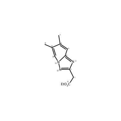 CCOC(=O)Cc1nc2cc(C)c(C)cn2n1